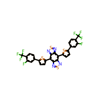 Fc1cc(-c2ccc(-c3c4c(c(-c5ccc(-c6ccc(C(F)(F)F)c(F)c6)s5)c5nsnc35)N=S=N4)s2)ccc1C(F)(F)F